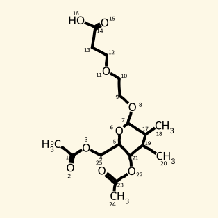 CC(=O)OCC1OC(OCCOCCC(=O)O)C(C)C(C)C1OC(C)=O